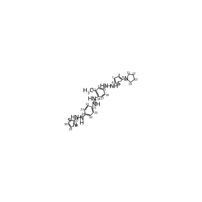 Cc1cc(NNc2ccc(N3CCCC3)s2)ccc1NNc1ccc(NNc2nccs2)cc1